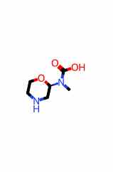 CN(C(=O)O)[C@H]1CNCCO1